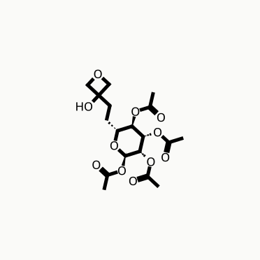 CC(=O)O[C@H]1O[C@H](CCC2(O)COC2)[C@@H](OC(C)=O)[C@H](OC(C)=O)[C@@H]1OC(C)=O